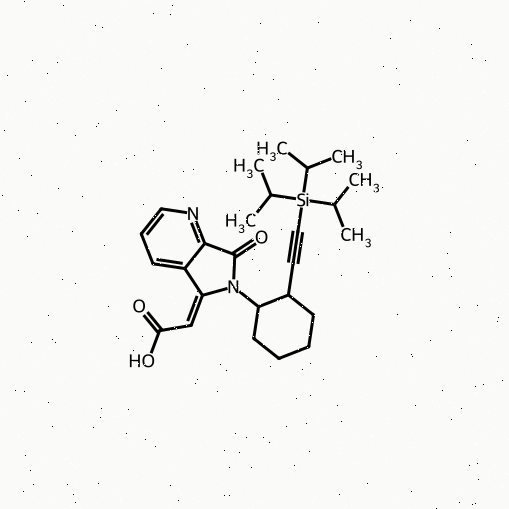 CC(C)[Si](C#CC1CCCCC1N1C(=O)c2ncccc2/C1=C\C(=O)O)(C(C)C)C(C)C